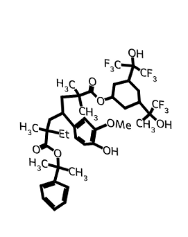 CCC(C)(CC(CC(C)(C)C(=O)OC1CC(C(C)(O)C(F)(F)F)CC(C(O)(C(F)(F)F)C(F)(F)F)C1)c1ccc(O)c(OC)c1)C(=O)OC(C)(C)c1ccccc1